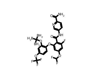 BC(B)(B)Oc1cc(OC(F)(F)F)ccc1Oc1cc(OC(F)F)cc(F)c1C(=O)Nc1ccc(C(N)=O)nc1